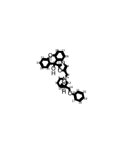 OC1(c2ncc(C[N+]34CCC(CC3)[C@H](COc3ccccc3)C4)o2)c2ccccc2Oc2ccccc21